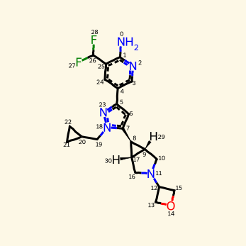 Nc1ncc(-c2cc([C@H]3[C@@H]4CN(C5COC5)C[C@@H]43)n(CC3CC3)n2)cc1C(F)F